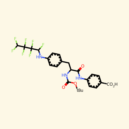 CC(C)(C)OC(=O)NC(Cc1ccc(NC(F)C(F)(F)C(F)(F)C(F)F)cc1)C(=O)Nc1ccc(C(=O)O)cc1